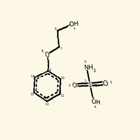 NS(=O)(=O)O.OCCOc1ccccc1